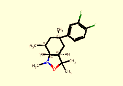 C[C@H]1C[C@@](C)(c2ccc(F)c(F)c2)C[C@@H]2[C@@H]1N(C)OC2(C)C